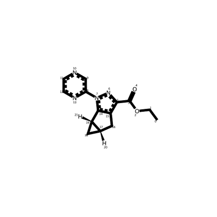 CCOC(=O)c1nn(-c2cnccn2)c2c1C[C@@H]1C[C@H]21